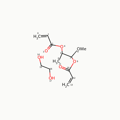 C=CC(=O)OC(C)C(OC)OC(=O)C=C.OCCO